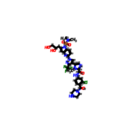 CN(C)S(=O)(=O)n1c(C[C@H](O)CO)cc2nc(-n3cc(-c4cnc(C(=O)Nc5ccc(C(=O)N6CCNCC6)c(Cl)c5)n4C)c(C(F)(F)F)n3)ccc21